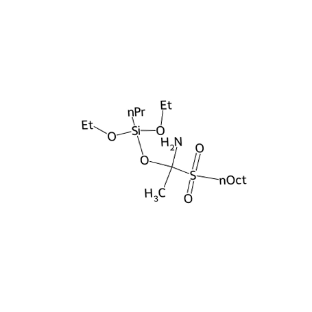 CCCCCCCCS(=O)(=O)C(C)(N)O[Si](CCC)(OCC)OCC